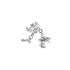 COC(=O)N1CCC2(CC1)CN(c1nc(-c3cc(OC[C@@H](CNCC(=O)OC(C)(C)C)O[Si](C)(C)C(C)(C)C)ccc3Cl)nc(-c3c(C)noc3C)c1C)C2